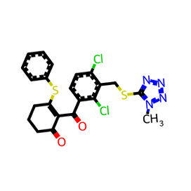 Cn1nnnc1SCc1c(Cl)ccc(C(=O)C2=C(Sc3ccccc3)CCCC2=O)c1Cl